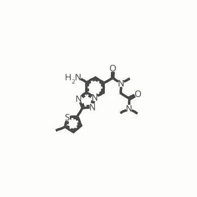 Cc1ccc(-c2nc3c(N)cc(C(=O)N(C)CC(=O)N(C)C)cn3n2)s1